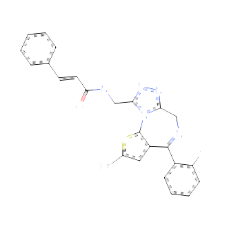 CCc1cc2c(s1)-n1c(nnc1CNC(=O)/C=C/c1ccccc1)CN=C2c1ccccc1Cl